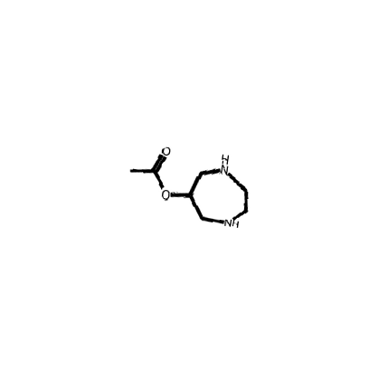 CC(=O)OC1CNCCNC1